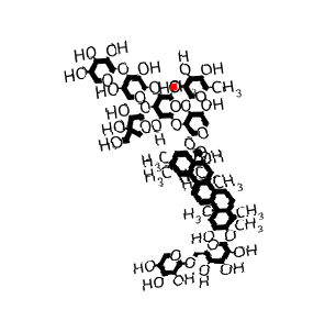 C[C@@H]1O[C@@H](O[C@@H]2[C@@H](O[C@@H]3O[C@@H](C)[C@H](O[C@@H]4OC[C@H](O)[C@H](O[C@@H]5OC[C@@H](O)[C@H](O)[C@H]5O)[C@H]4O)[C@@H](OC4OC[C@](O)(CO)[C@H]4O)[C@H]3O)[C@H](OC(=O)[C@]34CCC(C)(C)C[C@H]3C3=CCC5[C@@]6(C)C[C@H](O)[C@H](O[C@@H]7O[C@H](CO[C@@H]8OC[C@H](O)[C@H](O)[C@H]8O)[C@@H](O)[C@H](O)[C@H]7O)C(C)(C)C6CC[C@@]5(C)[C@]3(C)C[C@H]4O)OC[C@H]2O)[C@H](O)[C@H](O)[C@H]1O